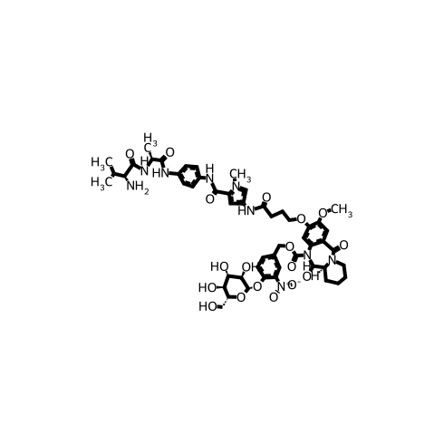 COc1cc2c(cc1OCCCC(=O)Nc1cc(C(=O)Nc3ccc(NC(=O)[C@H](C)NC(=O)[C@@H](N)C(C)C)cc3)n(C)c1)N(C(=O)OCc1ccc(O[C@@H]3O[C@H](CO)[C@@H](O)[C@H](O)[C@H]3O)c([N+](=O)[O-])c1)C(O)[C@@H]1CCCCN1C2=O